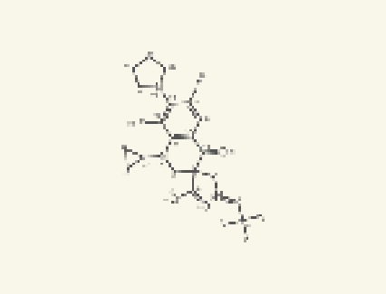 CC(C)(C)C=NCC1(C(=O)O)CN(C2CC2)c2c(cc(F)c(N3CCCC3)c2F)C1=O